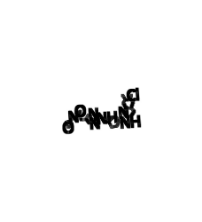 Cc1cc2nc(NC3CCC(CNc4ncc(CC(=O)N(C)C5COC5)cn4)CC3)ccc2cc1Cl